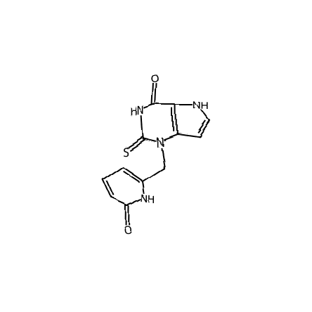 O=c1cccc(Cn2c(=S)[nH]c(=O)c3[nH]ccc32)[nH]1